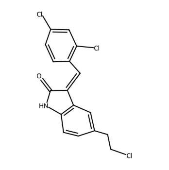 O=C1Nc2ccc(CCCl)cc2C1=Cc1ccc(Cl)cc1Cl